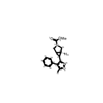 COC(=O)N1CC2C(c3noc(C)c3-c3ccccc3)[C@@H]2C1